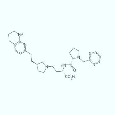 O=C(O)[C@H](CCN1CC[C@@H](CCc2ccc3c(n2)NCCC3)C1)NC(=O)[C@@H]1CCCN1Cc1ncccn1